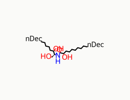 CCCCCCCCCCCCCCCCCCC(O)C(=O)N[C@@H](CO)[C@H](O)CCCCCCCCCCCCCCC